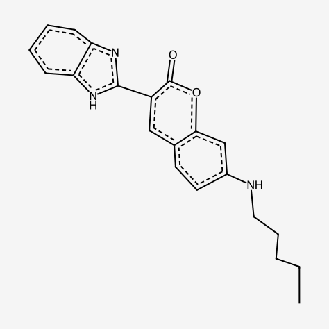 CCCCCNc1ccc2cc(-c3nc4ccccc4[nH]3)c(=O)oc2c1